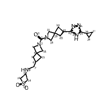 O=C(N1CC2(CC(CNC3CS(=O)(=O)C3)C2)C1)N1CC2(CC(c3nnc(C4CC4)[nH]3)C2)C1